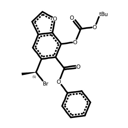 C[C@H](Br)c1cc2ccoc2c(OC(=O)OC(C)(C)C)c1C(=O)Oc1ccccc1